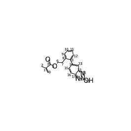 C=C(C)C(=O)OCCc1ccccc1-c1ccc2nn(O)nc2c1